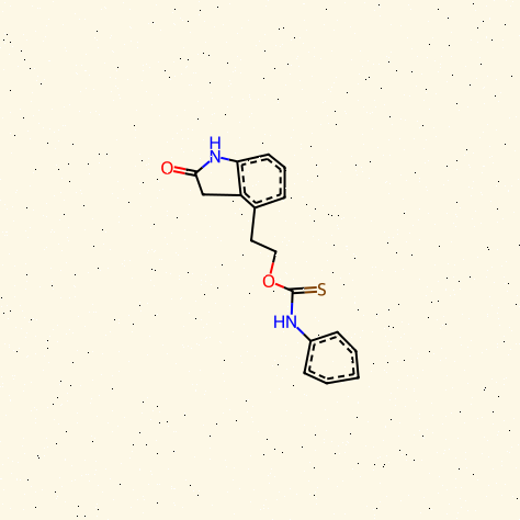 O=C1Cc2c(CCOC(=S)Nc3ccccc3)cccc2N1